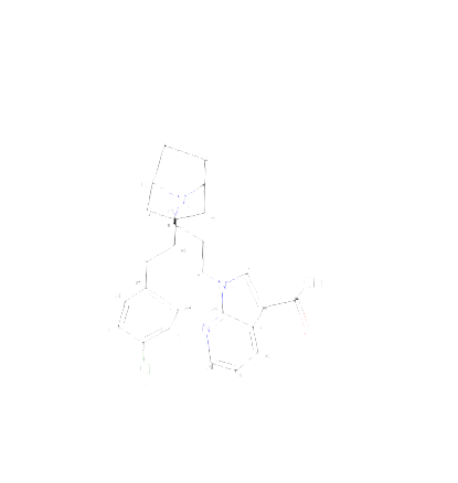 CC(=O)c1cn(CCCN2C3CCC2CC(CCc2ccc(Cl)cc2)C3)c2ncccc12